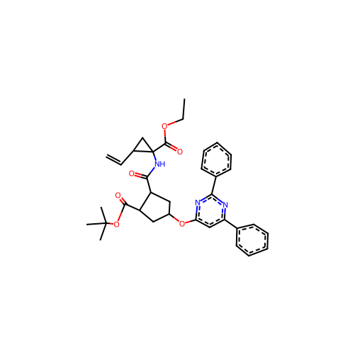 C=CC1CC1(NC(=O)C1CC(Oc2cc(-c3ccccc3)nc(-c3ccccc3)n2)CC1C(=O)OC(C)(C)C)C(=O)OCC